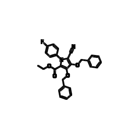 CCOC(=O)c1c(OCc2ccccc2)c(OCc2ccccc2)c(C#N)n1-c1ccc(F)cc1